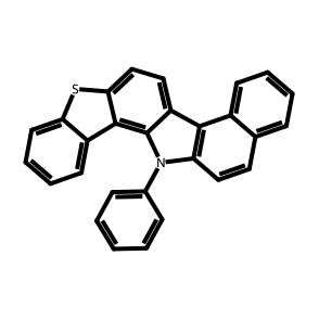 c1ccc(-n2c3ccc4ccccc4c3c3ccc4sc5ccccc5c4c32)cc1